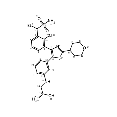 CCC(c1cccc(-c2nc(C3CCOCC3)sc2-c2ccnc(NC[C@H](C)O)n2)c1Cl)S(N)(=O)=O